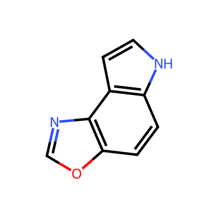 c1cc2c(ccc3ocnc32)[nH]1